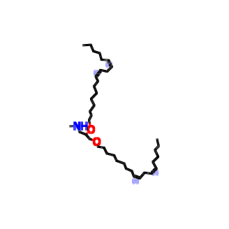 CCCCC/C=C\C/C=C\CCCCCCCCOCC(CNC)OCCCCCCCC/C=C\C/C=C\CCCCC